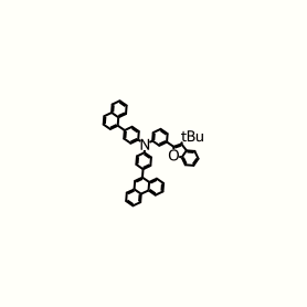 CC(C)(C)c1c(-c2cccc(N(c3ccc(-c4cccc5ccccc45)cc3)c3ccc(-c4cc5ccccc5c5ccccc45)cc3)c2)oc2ccccc12